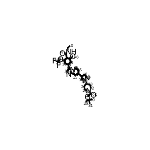 CCNC(=O)c1c(OC)cc(-c2cnc3cc(-c4cnn(C5CCN(C(=O)OC(C)(C)C)CC5)c4)ccn23)cc1OC(F)F